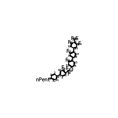 CCCCCc1ccc(-c2ccc(C(F)(F)Oc3ccc(-c4ccc(-c5cc(F)c(C(F)F)c(F)c5)c(F)c4)c(F)c3)c(F)c2)cc1